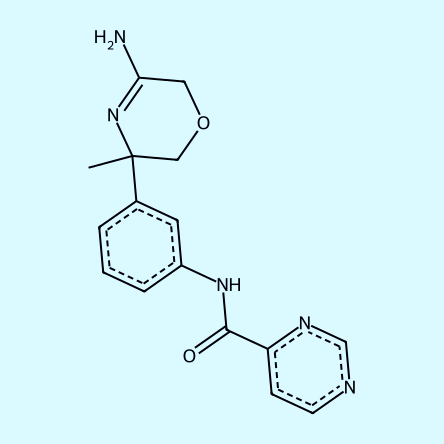 CC1(c2cccc(NC(=O)c3ccncn3)c2)COCC(N)=N1